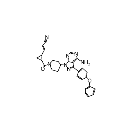 N#CC=CC1CC1C(=O)N1CCC(n2nc(-c3ccc(Oc4ccccc4)cc3)c3c(N)ncnc32)CC1